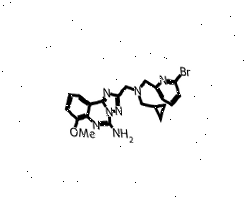 COc1cccc2c1nc(N)n1nc(CN(Cc3cccc(Br)n3)CC3CC3)nc21